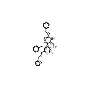 CC(C)C[C@H](NC(=O)OCc1ccccc1)C(=O)N(C)[C@@H](Cc1ccccc1)C(=O)CSCc1ccco1